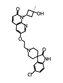 C[C@]1(O)C[C@@H](n2c(=O)ccc3cc(OCCN4CCC5(CC4)C(=O)Nc4ccc(Cl)cc45)cnc32)C1